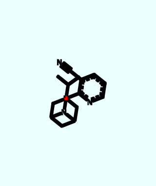 CC(C)N1CC2CC(C1)N2Cc1ncccc1C#N